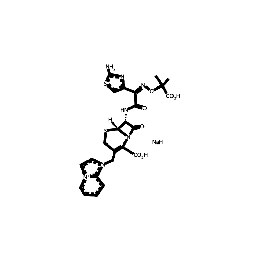 CC(C)(O/N=C(\C(=O)N[C@@H]1C(=O)N2C(C(=O)O)=C(Cn3cc[n+]4ccccc34)CS[C@H]12)c1csc(N)n1)C(=O)O.[NaH]